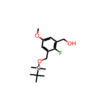 COc1cc(CO)c(F)c(CO[Si](C)(C)C(C)(C)C)c1